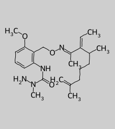 C=C(C)CCCC(C)/C(=C\C)C(C)=NOCc1c(NC(=O)N(C)N)cccc1OC